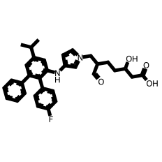 CC(C)c1cc(Nc2ccn(CC(C=O)CCC(O)CC(=O)O)c2)c(-c2ccc(F)cc2)c(-c2ccccc2)c1